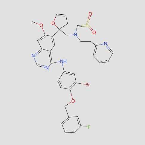 COc1cc2ncnc(Nc3ccc(OCc4cccc(F)c4)c(Br)c3)c2cc1C1(CN(C=S(=O)=O)CCc2ccccn2)CC=CO1